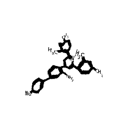 Cc1ccc(-c2cc(-c3ccc(-c4ccc(C(C)(C)C)cc4)cc3N)cc(-c3ccc(C)cc3C)n2)c(C)c1